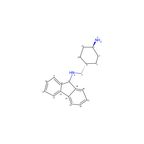 N[C@H]1CC[C@H](CNC2c3ccccc3-c3ccccc32)CC1